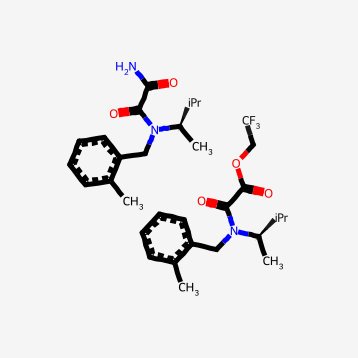 Cc1ccccc1CN(C(=O)C(=O)OCC(F)(F)F)[C@H](C)C(C)C.Cc1ccccc1CN(C(=O)C(N)=O)[C@H](C)C(C)C